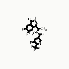 CC(c1n[nH]c(=O)c2cc(F)c(F)cc12)N(C)C(=O)c1cnc(C(F)(F)F)c(F)c1